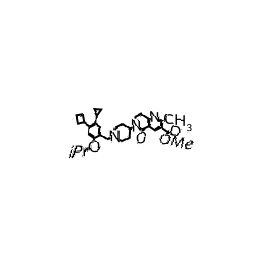 COC(=O)c1cc2c(nc1C)CCN(C1CCN(Cc3cc(C4CC4)c(C4CCC4)cc3OC(C)C)CC1)C2=O